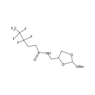 COC1OCC(CNC(=O)CCC(F)(F)C(F)(F)C(F)(F)F)O1